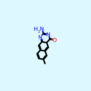 Cc1ccc2c(c1)=CC1C(=O)N=C(N)N=C1C=2